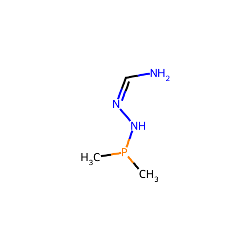 CP(C)N/N=C\N